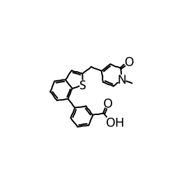 Cn1ccc(Cc2cc3cccc(-c4cccc(C(=O)O)c4)c3s2)cc1=O